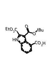 CCOC(=O)c1[nH]c2cccc(C(=O)O)c2c1C(=O)OC(C)(C)C